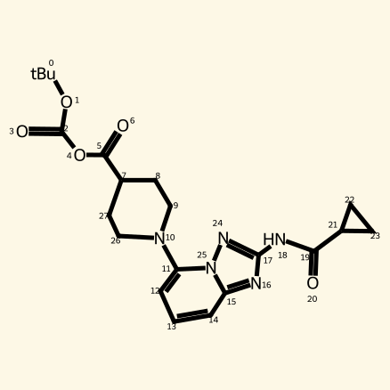 CC(C)(C)OC(=O)OC(=O)C1CCN(c2cccc3nc(NC(=O)C4CC4)nn23)CC1